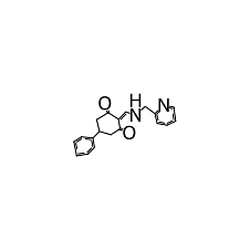 O=C1CC(c2ccccc2)CC(=O)C1=CNCc1ccccn1